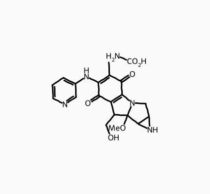 COC12C(CO)C3=C(C(=O)C(C)=C(Nc4cccnc4)C3=O)N1CC1NC12.NC(=O)O